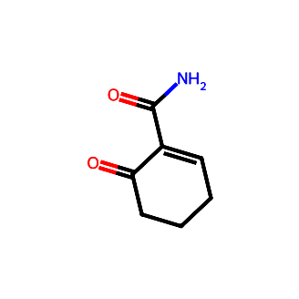 NC(=O)C1=CCCCC1=O